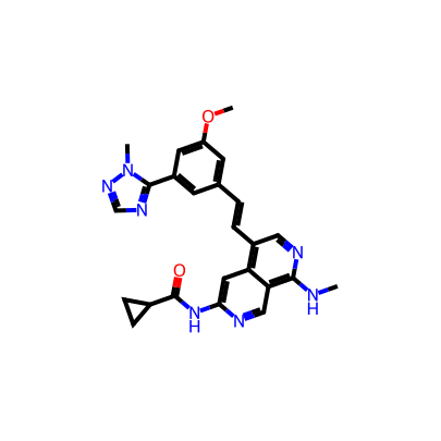 CNc1ncc(C=Cc2cc(OC)cc(-c3ncnn3C)c2)c2cc(NC(=O)C3CC3)ncc12